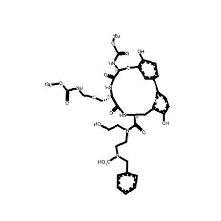 CC(C)(C)OC(=O)NCCC[C@@H]1NC(=O)[C@@H](NC(=O)OC(C)(C)C)Cc2cc(ccc2O)-c2ccc(O)c(c2)C[C@@H](C(=O)N(CCO)CCN(Cc2ccccc2)C(=O)O)NC1=O